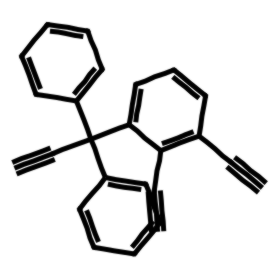 C#Cc1cccc(C(C#C)(c2ccccc2)c2ccccc2)c1C#C